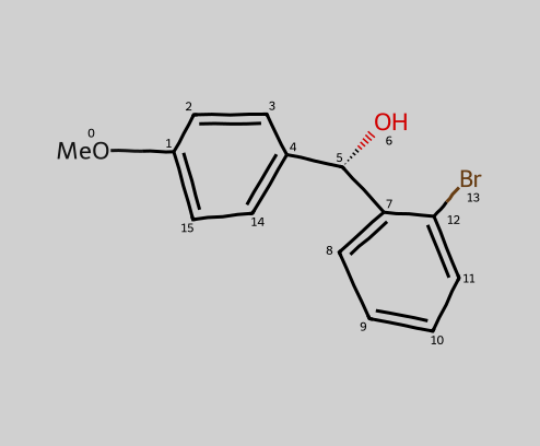 COc1ccc([C@H](O)c2ccccc2Br)cc1